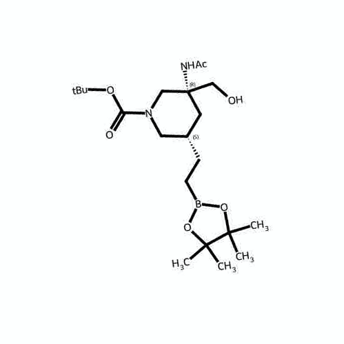 CC(=O)N[C@]1(CO)C[C@H](CCB2OC(C)(C)C(C)(C)O2)CN(C(=O)OC(C)(C)C)C1